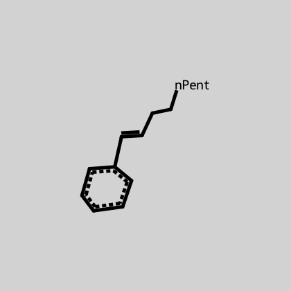 CCCCCCCC=Cc1ccccc1